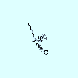 CC=C(CCCCCCCCC)OOOOOOC1CCCCC1.O=P(O)(O)O